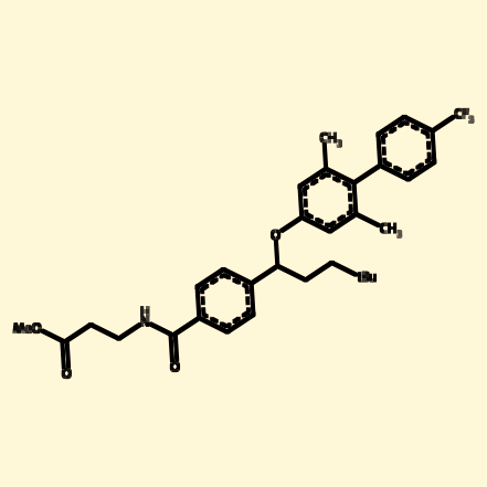 COC(=O)CCNC(=O)c1ccc(C(CCC(C)(C)C)Oc2cc(C)c(-c3ccc(C(F)(F)F)cc3)c(C)c2)cc1